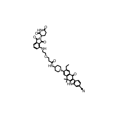 CCc1cc2c(cc1N1CCC(NC(=O)CCOCCNc3cccc4c3C(=O)N(C3CCC(=O)NC3=O)C4=O)CC1)C(C)(C)c1[nH]c3cc(C#N)ccc3c1C2=O